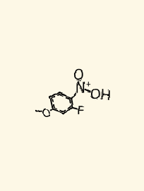 COc1ccc([N+](=O)O)c(F)c1